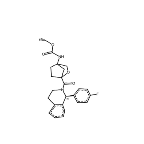 CC(C)(C)OC(=O)NC12CCC(C(=O)N3CCc4ccccc4[C@@H]3c3ccc(F)cc3)(C1)OC2